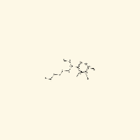 CCCCCCP(CC)c1ccc(C)c(C)c1C